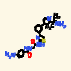 CC(C)(N)c1cc(-c2cccc(-c3csc(NC(=O)CNC(=O)c4ccc(N)cc4)n3)c2)ccn1